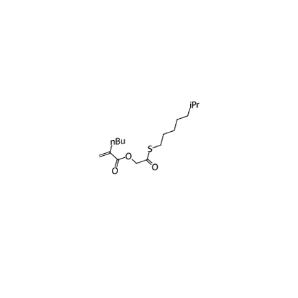 C=C(CCCC)C(=O)OCC(=O)SCCCCCC(C)C